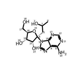 CC(O)C[C@@]1(n2cnc3c(N)ncnc32)O[C@H](CO)[C@@H](O)[C@H]1O